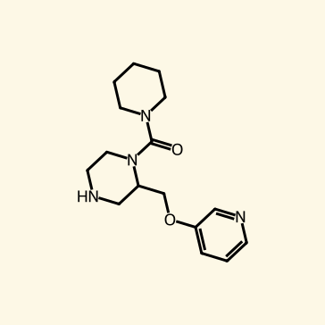 O=C(N1CCCCC1)N1CCNCC1COc1cccnc1